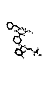 CNC[C@H](CC1CCOCC1)NC(=O)N1CCC[C@@H](C(OCCNC(=O)O)c2cccc(F)c2F)C1